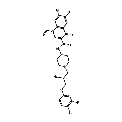 C=Cn1cc(C(=O)NC2CCN(CC(O)COc3ccc(Cl)c(F)c3)CC2)c(=O)c2cc(F)c(Cl)cc21